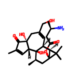 CC1=C[C@H]2[C@@]3(O)[C@H](C)C[C@]4(OC(=O)C[C@@H](C)N)[C@@H]([C@@H]3C=C(CO)C[C@]2(O)C1=O)C4(C)C